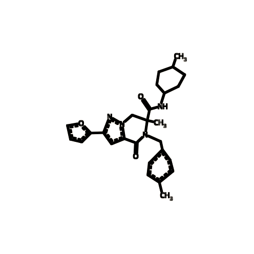 Cc1ccc(CN2C(=O)c3cc(-c4ccco4)nn3CC2(C)C(=O)NC2CCC(C)CC2)cc1